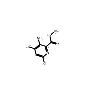 CC(C)(C)OC(=O)c1nc(Cl)cc(Cl)c1N